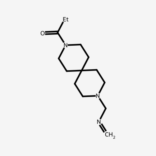 C=NCN1CCC2(CC1)CCN(C(=O)CC)CC2